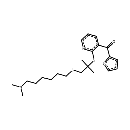 CN(C)CCCCCCSCC(C)(C)Sc1ncccc1C(=O)c1cccs1